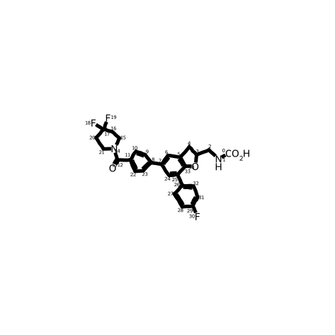 O=C(O)NCC1Cc2cc(-c3ccc(C(=O)N4CCC(F)(F)CC4)cc3)cc(-c3ccc(F)cc3)c2O1